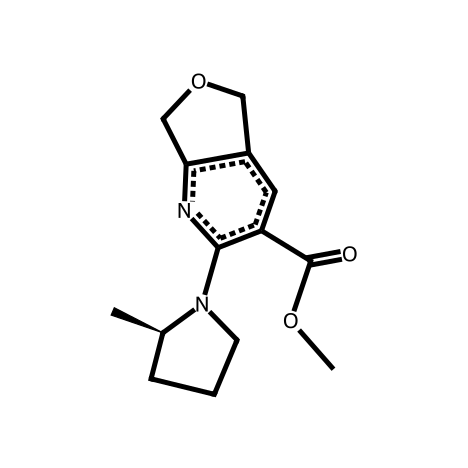 COC(=O)c1cc2c(nc1N1CCC[C@H]1C)COC2